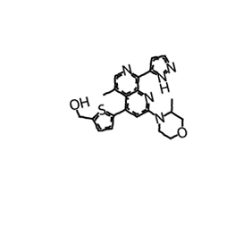 Cc1cnc(-c2ccn[nH]2)c2nc(N3CCOCC3C)cc(-c3ccc(CO)s3)c12